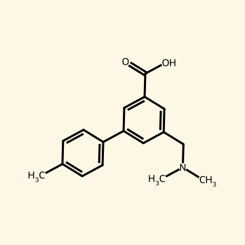 Cc1ccc(-c2cc(CN(C)C)cc(C(=O)O)c2)cc1